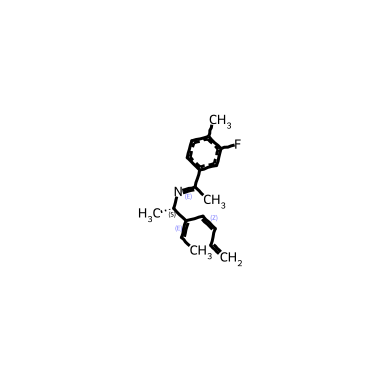 C=C/C=C\C(=C/C)[C@H](C)/N=C(\C)c1ccc(C)c(F)c1